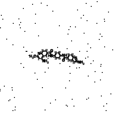 Cc1cc(N)c2cc(C(=O)Nc3ccc(NC(=O)C4=CC=C5SN(N)C=C5C4)cc3)ccc2n1